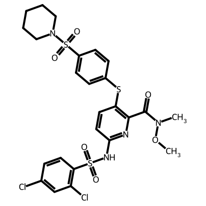 CON(C)C(=O)c1nc(NS(=O)(=O)c2ccc(Cl)cc2Cl)ccc1Sc1ccc(S(=O)(=O)N2CCCCC2)cc1